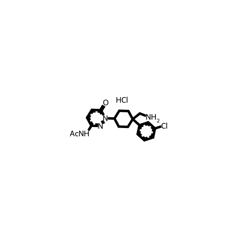 CC(=O)Nc1ccc(=O)n(C2CCC(CN)(c3cccc(Cl)c3)CC2)n1.Cl